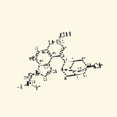 OB1C=C(C2C3CC4CC2CC(O)(C4)C3)c2c(cnc3c2ccn3SP(I)I)O1